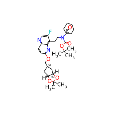 CC(C)(C)OC(=O)N(CCc1c(F)cnc2ccc(OC[C@H]3C[C@@H]4OC(C)(C)O[C@@H]4C3)nc12)C12CCC(CC1)OC2